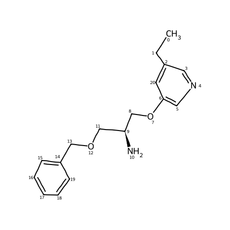 CCc1cncc(OC[C@@H](N)COCc2ccccc2)c1